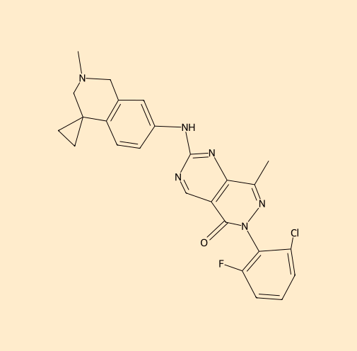 Cc1nn(-c2c(F)cccc2Cl)c(=O)c2cnc(Nc3ccc4c(c3)CN(C)CC43CC3)nc12